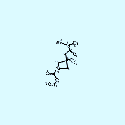 CCN(CC)C(=O)CC1(O)CN(C(=O)OC(C)(C)C)C1